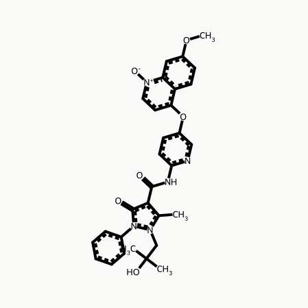 COc1ccc2c(Oc3ccc(NC(=O)c4c(C)n(CC(C)(C)O)n(-c5ccccc5)c4=O)nc3)cc[n+]([O-])c2c1